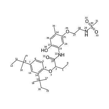 CCC(Oc1ccc(C(C)(C)CC)cc1C(C)(C)CC)C(=O)Nc1cc(OCCNS(C)(=O)=O)c(C)cc1O